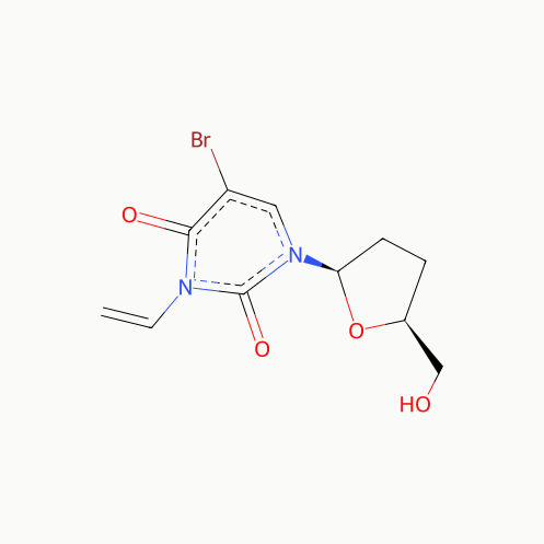 C=Cn1c(=O)c(Br)cn([C@H]2CC[C@@H](CO)O2)c1=O